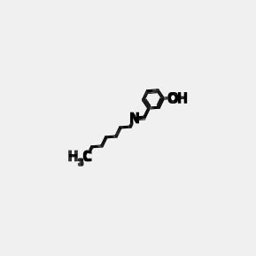 CCCCCCCN=Cc1cccc(O)c1